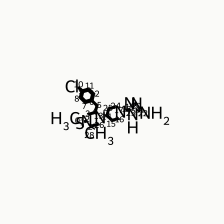 CSN1CC(Cc2ccc(Cl)cc2)N(C2CCN(c3nnc(N)[nH]3)CC2)CC1C